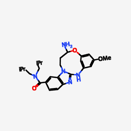 COc1cc2cc(c1)OC(N)CCn1c(nc3ccc(C(=O)N(CC(C)C)CC(C)C)cc31)N2